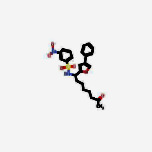 CC(=O)CCCCCC(NS(=O)(=O)c1cccc([N+](=O)[O-])c1)c1cc(-c2ccccc2)co1